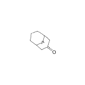 O=C1CC2CCCC(C1)[P]2